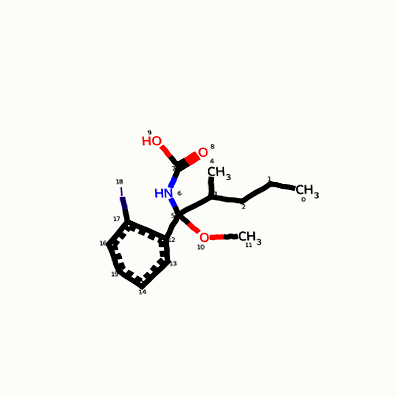 CCCC(C)C(NC(=O)O)(OC)c1ccccc1I